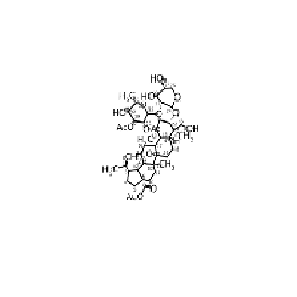 C=C(C)[C@@H]1CC[C@]2(C(=O)OC(C)=O)CC[C@]3(C)C(CCC4[C@@]5(C)CC[C@H](O[C@@H]6OC[C@H](O)[C@H](O)[C@H]6OC6O[C@@H](C)[C@H](O)[C@@H](OC(C)=O)[C@H]6OC(C)=O)[C@@](C)(CO)[C@@H]5CC[C@]43C)C12